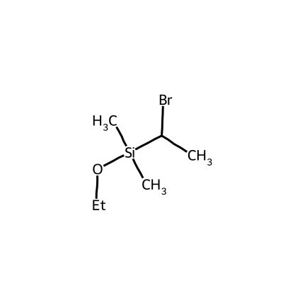 CCO[Si](C)(C)C(C)Br